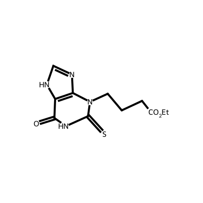 CCOC(=O)CCCn1c(=S)[nH]c(=O)c2[nH]cnc21